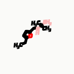 BC(C)(C)BCc1ccc(CC)o1